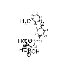 Cc1cccc(Oc2ccc(CCCC(P(=O)(O)O)S(=O)(=O)O)cc2)c1